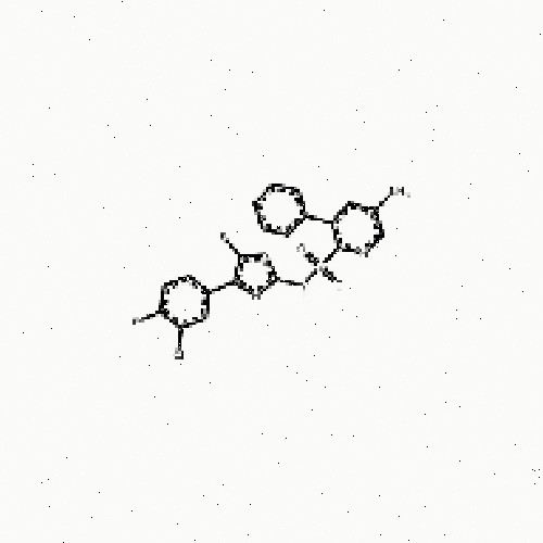 Nc1cnc(S(=O)(=O)Nc2nc(-c3ccc(F)c(Cl)c3)c(F)s2)c(-c2ccccc2)c1